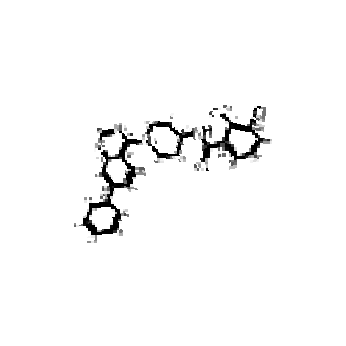 O=C(NC1CCN(c2ncnc3cc(-c4ccccc4)ccc23)CC1)c1cccc(Cl)c1Cl